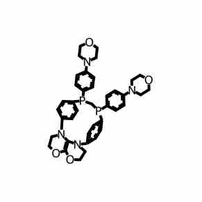 c1cc(P2CP(c3ccc(N4CCOCC4)cc3)c3ccc(cc3)N3CCOC4=C3N(CCO4)c3ccc2cc3)ccc1N1CCOCC1